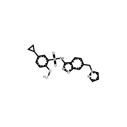 COc1ccc(C2CC2)cc1S(=O)(=O)Nc1noc2cc(Cn3cccn3)ccc12